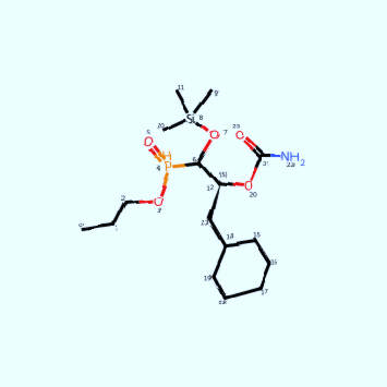 CCCO[PH](=O)C(O[Si](C)(C)C)[C@H](CC1CCCCC1)OC(N)=O